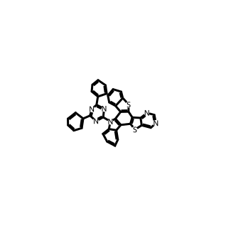 c1ccc(-c2nc(-c3ccccc3)nc(-n3c4ccccc4c4c5sc6cncnc6c5c5sc6ccccc6c5c43)n2)cc1